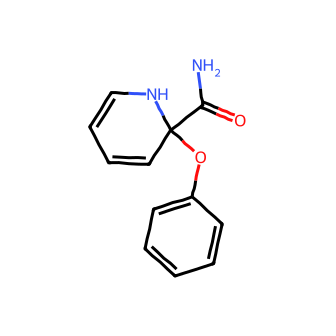 NC(=O)C1(Oc2ccccc2)C=CC=CN1